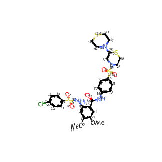 COc1cc(NS(=O)(=O)c2ccc(Cl)cc2)c(C(=O)Nc2ccc(S(=O)(=O)N3CCSC(N4CCSCC4)C3)cc2)cc1OC